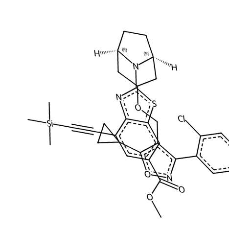 COC(=O)c1cc(C#C[Si](C)(C)C)c2nc(N3[C@@H]4CC[C@H]3CC(OCc3c(-c5ccccc5Cl)noc3C3CC3)C4)sc2c1